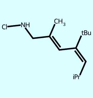 C/C(=C\C(=C/C(C)C)C(C)(C)C)CNCl